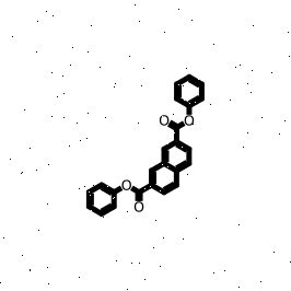 O=C(Oc1ccccc1)c1ccc2ccc(C(=O)Oc3ccccc3)cc2c1